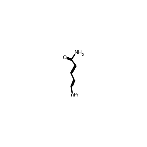 CCC/C=C/C=C/C(N)=O